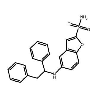 NS(=O)(=O)c1cc2cc(NC(Cc3ccccc3)c3ccccc3)ccc2o1